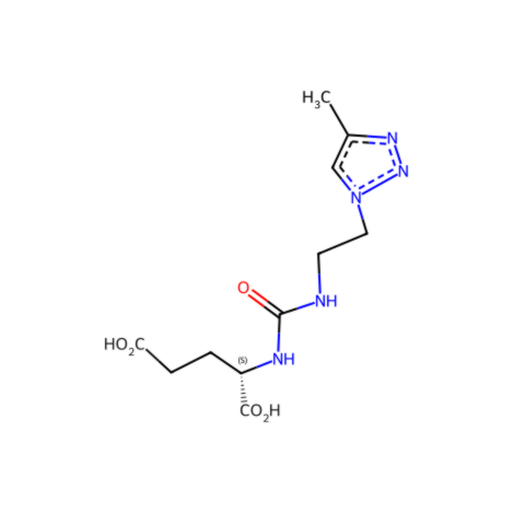 Cc1cn(CCNC(=O)N[C@@H](CCC(=O)O)C(=O)O)nn1